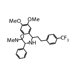 CNC(=O)[C@@H](NC(CCc1ccc(C(F)(F)F)cc1)c1ccc(OC)c(OC)c1)c1ccccc1